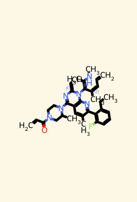 C=C/C=C(C)\C(=C(\C)NC)N1/C(=C\C)N=C(N2CCN(C(=O)C=C)CC2C)c2cc(C)c(-c3c(F)cccc3CC)nc21